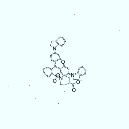 O=C([O-])C1CCN(S(=O)(=O)c2ccccc2-c2c3cc/c(=[N+]4\CCc5ccccc54)cc-3oc3cc(N4CCc5ccccc54)ccc23)CC1